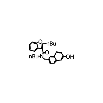 CCCCc1oc2ccccc2c1C(=O)N(CCCC)Cc1ccc2cc(O)ccc2c1